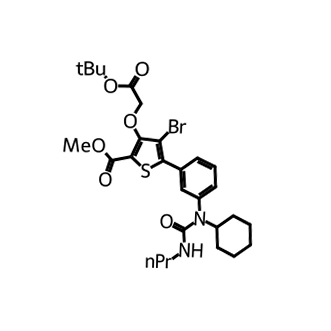 CCCNC(=O)N(c1cccc(-c2sc(C(=O)OC)c(OCC(=O)OC(C)(C)C)c2Br)c1)C1CCCCC1